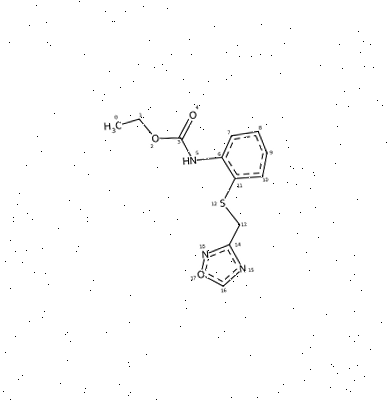 CCOC(=O)Nc1ccccc1SCc1ncon1